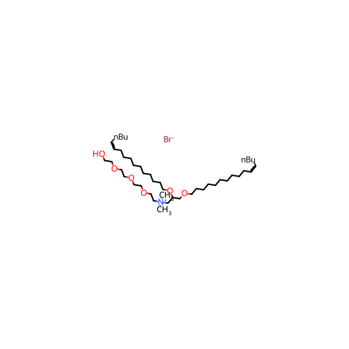 CCCC/C=C\CCCCCCCCCCOCC(C[N+](C)(C)CCOCCOCCOCCO)OCCCCCCCCCC/C=C\CCCC.[Br-]